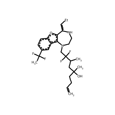 C=CCCC(C)(O)CC(C)C(F)(F)CN1CCN/C(=C\CC)c2oc3ccc(C(C)(F)F)cc3c21